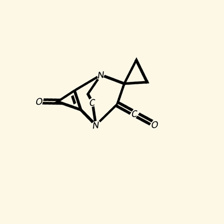 O=C=C1N2CCN(c3c2c3=O)C12CC2